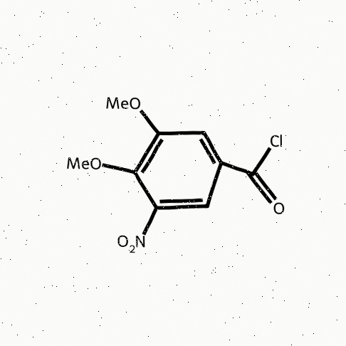 COc1cc(C(=O)Cl)cc([N+](=O)[O-])c1OC